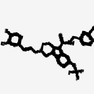 O=C(NCc1ccnc(Cl)c1)n1c2c(c3ccc(OC(F)(F)F)cc31)CN(CC=Cc1ccc(F)c(Cl)c1)CC2